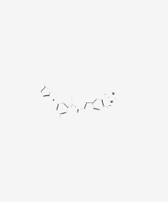 CC(C)c1ccc(C(C)(C)c2cc(Cl)cc(NC(=O)c3cc4cc(NS(C)(=O)=O)c(Cl)cc4s3)c2)s1